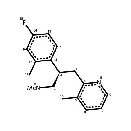 CNC[C@H](Cc1ncccc1C)c1ccc(F)cc1C